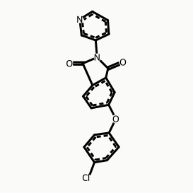 O=C1c2ccc(Oc3ccc(Cl)cc3)cc2C(=O)N1c1cccnc1